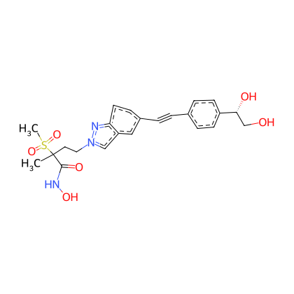 CC(CCn1cc2cc(C#Cc3ccc([C@H](O)CO)cc3)ccc2n1)(C(=O)NO)S(C)(=O)=O